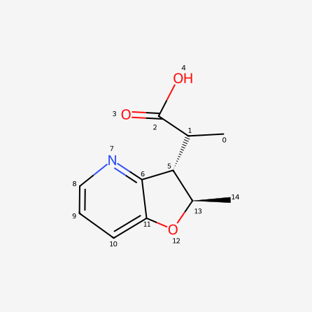 CC(C(=O)O)[C@H]1c2ncccc2O[C@@H]1C